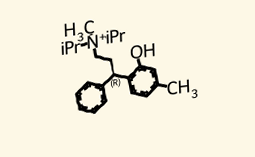 Cc1ccc([C@H](CC[N+](C)(C(C)C)C(C)C)c2ccccc2)c(O)c1